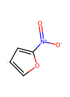 O=[N+]([O-])c1c[c]co1